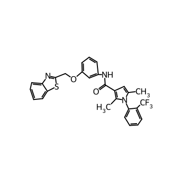 Cc1cc(C(=O)Nc2cccc(OCc3nc4ccccc4s3)c2)c(C)n1-c1ccccc1C(F)(F)F